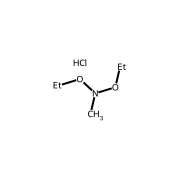 CCON(C)OCC.Cl